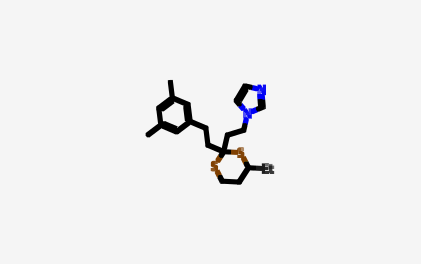 CCC1CCSC(CCc2cc(C)cc(C)c2)(CCn2ccnc2)S1